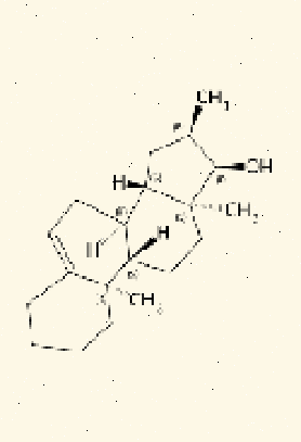 C[C@@H]1C[C@H]2[C@@H]3CC=C4CCCC[C@]4(C)[C@H]3CC[C@]2(C)[C@@H]1O